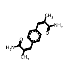 CC(=Cc1ccc(C=C(C)C(N)=O)cc1)C(N)=O